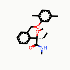 CC[C@](OC)(C(=O)NC)c1ccccc1COc1cc(C)ccc1C